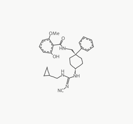 COc1cccc(O)c1C(=O)NC[C@]1(c2ccccc2)CC[C@H](N/C(=N/C#N)NCC2CC2)CC1